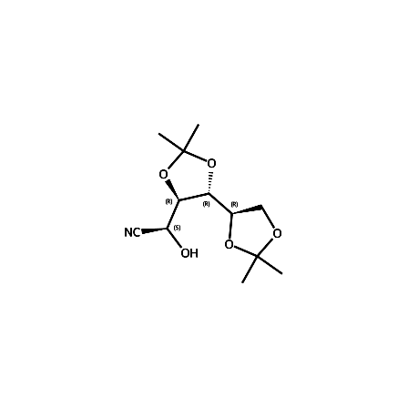 CC1(C)O[C@H]([C@@H](O)C#N)[C@@H]([C@H]2COC(C)(C)O2)O1